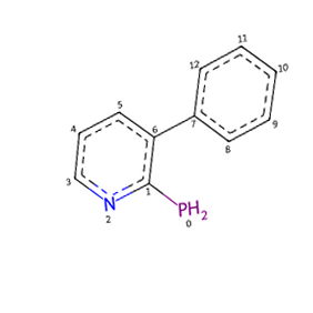 Pc1ncccc1-c1ccccc1